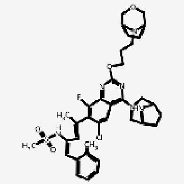 C/C(=C\C(=C/c1ccccc1C)NS(C)(=O)=O)c1c(Cl)cc2c(N3CC4CCC(C3)N4)nc(OCCCN3C4CCC3COC4)nc2c1F